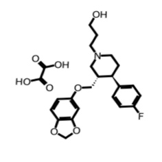 O=C(O)C(=O)O.OCCCN1CC[C@@H](c2ccc(F)cc2)[C@H](COc2ccc3c(c2)OCO3)C1